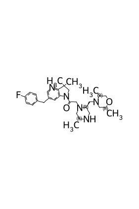 C[C@@H]1CN(CC(=O)N2CC(C)(C)c3ncc(Cc4ccc(F)cc4)cc32)[C@@H](CN2C[C@@H](C)OC[C@H]2C)CN1